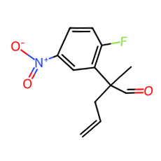 C=CCC(C)(C=O)c1cc([N+](=O)[O-])ccc1F